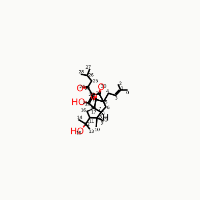 CC(C)=CCC12C[C@H]3C(C)(C)C(C(C)(C)O)C[C@]3(C1=O)C(O)=C(C(=O)CC(C)C)C2=O